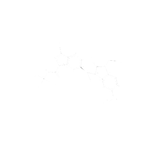 CCN1C(=O)[C@@]2(C[C@H]2c2ccc3c(I)nn(C(=O)OC(C)(C)C)c3c2)c2cc(OC)ccc21